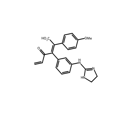 C=CC(=O)C(=C(C(=O)O)c1ccc(OC)cc1)c1cccc(NC2=NCCN2)c1